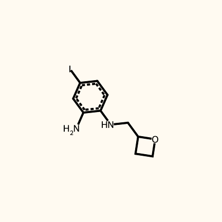 Nc1cc(I)ccc1NCC1CCO1